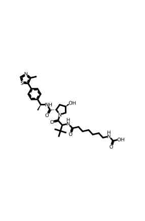 Cc1ncsc1-c1ccc([C@H](C)NC(=O)[C@@H]2C[C@@H](O)CN2C(=O)C(NC(=O)CCCCCCNC(=O)O)C(C)(C)C)cc1